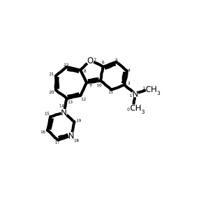 CN(C)C1=CC=c2oc3c(c2C1)C=C(N1C=CC=NC1)C=CC=3